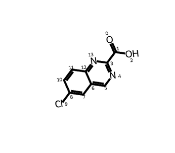 O=C(O)c1ncc2cc(Cl)ccc2n1